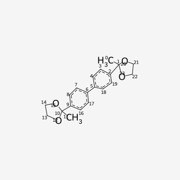 CC1(c2ccc(-c3ccc(C4(C)OCCO4)cc3)cc2)OCCO1